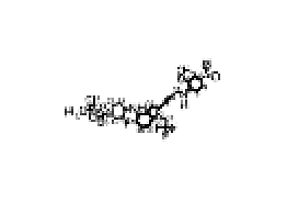 COc1cc([SH](=O)=O)ccc1NCC#Cc1cc2c(N[C@H]3CCN(C(=O)OC(C)(C)C)C[C@H]3F)cccc2n1CC(F)(F)F